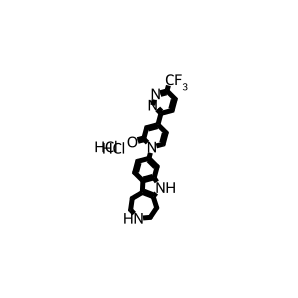 Cl.Cl.O=c1cc(-c2ccc(C(F)(F)F)nn2)ccn1-c1ccc2c3c([nH]c2c1)CCNCC3